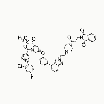 COC(=O)[C@@H]1C[C@H](Oc2cccc(-c3cccc4nn(CCN5CCN(C(=O)CCN6C(=O)c7ccccc7C6=O)CC5)cc34)c2)CN1C(=O)c1cnn(-c2ccc(F)cc2Cl)c1